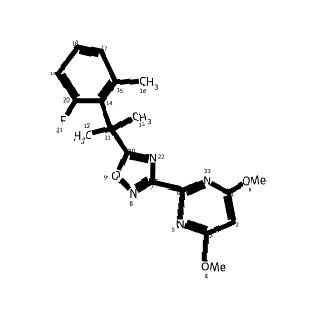 COc1cc(OC)nc(-c2noc(C(C)(C)c3c(C)cccc3F)n2)n1